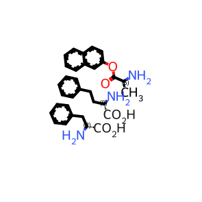 C[C@H](N)C(=O)Oc1ccc2ccccc2c1.N[C@@H](CCc1ccccc1)C(=O)O.N[C@H](Cc1ccccc1)C(=O)O